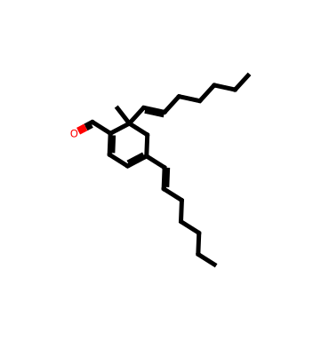 CCCCCC=CC1=CC=C(C=O)C(C)(C=CCCCCC)C1